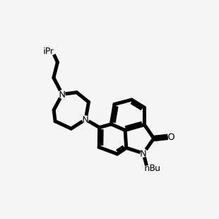 CCCCN1C(=O)c2cccc3c(N4CCCN(CCC(C)C)CC4)ccc1c23